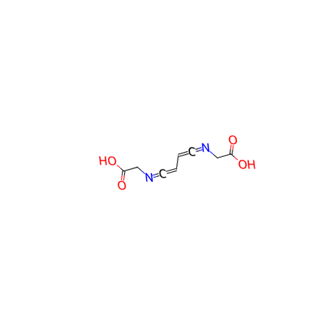 O=C(O)CN=C=CC=C=NCC(=O)O